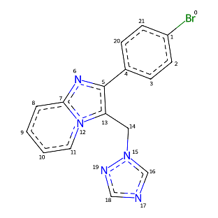 Brc1ccc(-c2nc3ccccn3c2Cn2cncn2)cc1